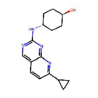 O[C@H]1CC[C@H](Nc2ncc3ccc(C4CC4)nc3n2)CC1